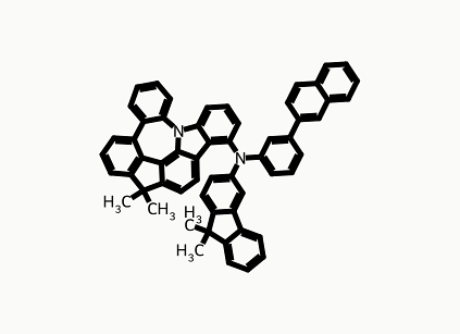 CC1(C)c2ccccc2-c2cc(N(c3cccc(-c4ccc5ccccc5c4)c3)c3cccc4c3c3ccc5c6c3n4-c3ccccc3-c3cccc(c3-6)C5(C)C)ccc21